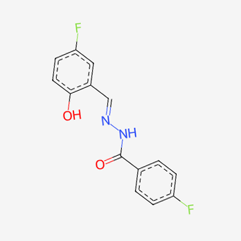 O=C(NN=Cc1cc(F)ccc1O)c1ccc(F)cc1